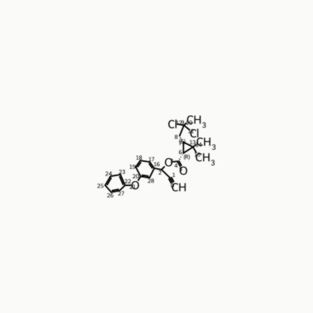 C#CC(OC(=O)[C@@H]1[C@H](CC(C)(Cl)Cl)C1(C)C)c1cccc(Oc2ccccc2)c1